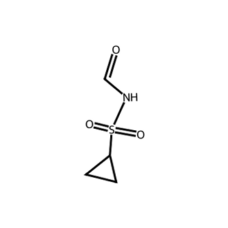 O=CNS(=O)(=O)C1CC1